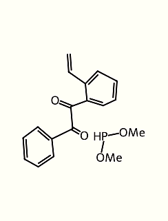 C=Cc1ccccc1C(=O)C(=O)c1ccccc1.COPOC